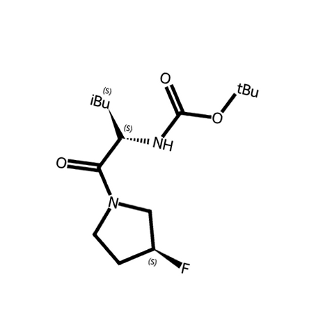 CC[C@H](C)[C@H](NC(=O)OC(C)(C)C)C(=O)N1CC[C@H](F)C1